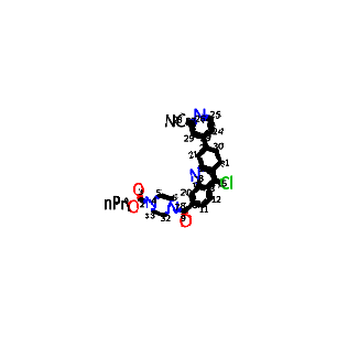 CCCOC(=O)N1CCN(C(=O)c2ccc3c(Cl)c4c(nc3c2)CC(c2ccnc(C#N)c2)CC4)CC1